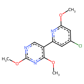 COc1cc(Cl)cc(-c2cnc(OC)nc2OC)n1